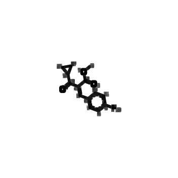 COC(=O)C(=Cc1ccc(F)cc1)C(=O)C1CC1